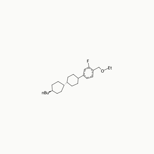 CCCC[C@H]1CC[C@H](C2CCC(c3ccc(COCC)c(F)c3)CC2)CC1